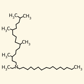 CCCCCCCCCCCCCCCCN(CC)CCC(C)CCCC(C)CCCC(C)CCCC(C)C